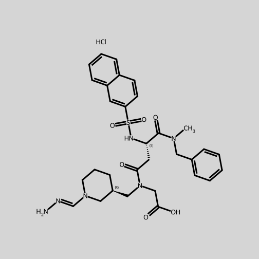 CN(Cc1ccccc1)C(=O)[C@H](CC(=O)N(CC(=O)O)C[C@@H]1CCCN(C=NN)C1)NS(=O)(=O)c1ccc2ccccc2c1.Cl